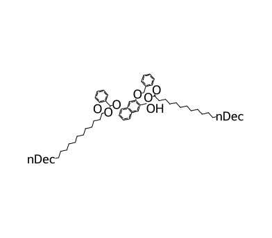 CCCCCCCCCCCCCCCCCCCCCC(=O)OC(Oc1cc2c(OC(OC(=O)CCCCCCCCCCCCCCCCCCCCC)c3ccccc3)cccc2cc1CO)c1ccccc1